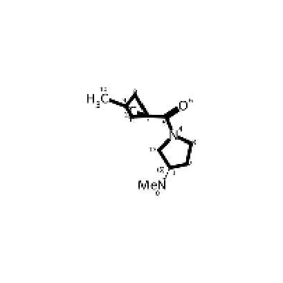 CN[C@H]1CCN(C(=O)C23CC(C)(C2)C3)C1